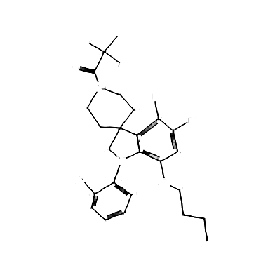 CCCCOc1cc(F)c(F)c2c1N(c1ccccc1N)CC21CCN(C(=O)C(C)(C)C)CC1